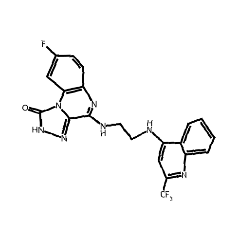 O=c1[nH]nc2c(NCCNc3cc(C(F)(F)F)nc4ccccc34)nc3ccc(F)cc3n12